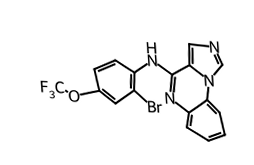 FC(F)(F)Oc1ccc(Nc2nc3ccccc3n3cncc23)c(Br)c1